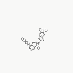 O=Cc1ccc2nc(Cn3ccc4c(N5CC6(COC6)C5)cncc4c3=O)cn2c1